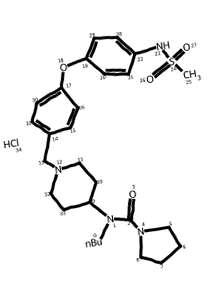 CCCCN(C(=O)N1CCCC1)C1CCN(Cc2ccc(Oc3ccc(NS(C)(=O)=O)cc3)cc2)CC1.Cl